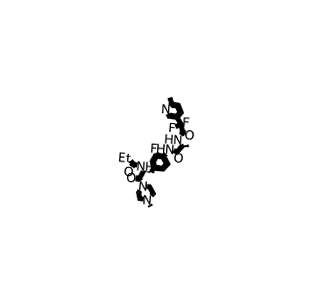 CCC(=O)N[C@H](Cc1ccc(NC(=O)[C@H](C)NC(=O)C(F)(F)c2ccc(C)nc2)c(F)c1)C(=O)N1CCN(C)CC1